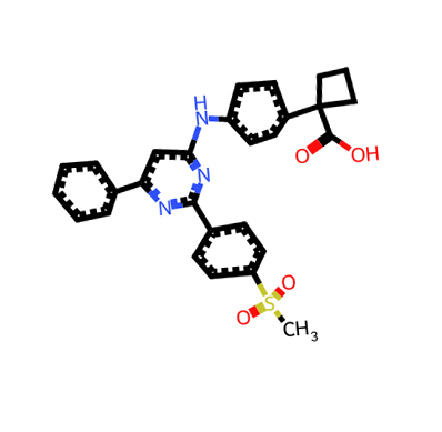 CS(=O)(=O)c1ccc(-c2nc(Nc3ccc(C4(C(=O)O)CCC4)cc3)cc(-c3ccccc3)n2)cc1